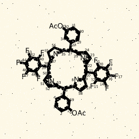 CC(=O)Oc1cccc(-c2c3nc(c(-c4c(F)c(F)c(F)c(F)c4F)c4ccc([nH]4)c(-c4cccc(OC(C)=O)c4)c4nc(c(-c5c(F)c(F)c(F)c(F)c5F)c5ccc2[nH]5)CC4)C=C3)c1